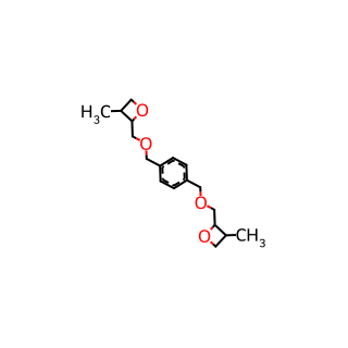 CC1COC1COCc1ccc(COCC2OCC2C)cc1